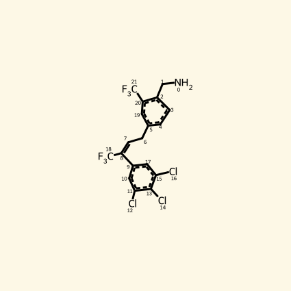 NCc1ccc(C/C=C(\c2cc(Cl)c(Cl)c(Cl)c2)C(F)(F)F)cc1C(F)(F)F